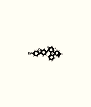 Brc1ccc2c(c1)oc1cc(-c3cccc4c3-c3ccccc3C43CC4CCC3C4)ccc12